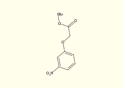 CC(C)(C)OC(=O)COc1cccc([N+](=O)[O-])c1